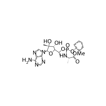 COC(=O)[C@H](C)NP(=O)(Oc1ccccc1)OC(C)C1O[C@@H](n2cnc3c(N)ncnc32)[C@](C)(O)[C@@H]1O